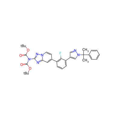 CC(C)(C)OC(=O)N(C(=O)OC(C)(C)C)c1nc2cc(-c3cccc(-c4cnn(C(C)(C)c5ccccc5)c4)c3F)ccn2n1